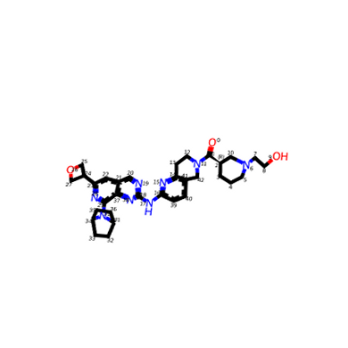 O=C([C@@H]1CCCN(CCO)C1)N1CCc2nc(Nc3ncc4cc(C5COC5)nc(N5C6CCC5CC6)c4n3)ccc2C1